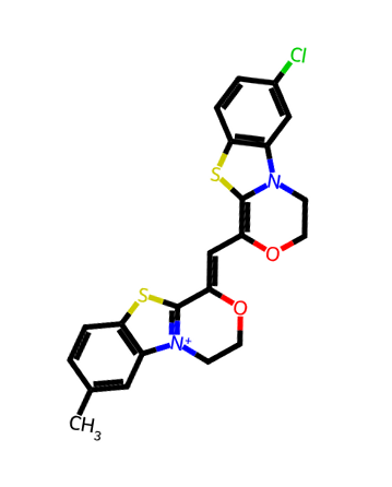 Cc1ccc2sc3[n+](c2c1)CCOC3=CC1=C2Sc3ccc(Cl)cc3N2CCO1